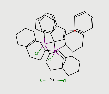 ClP(C1CCCCC1)(C1CCCCC1)(C1CCCCC1)C1(P(Cl)(C2CCCCC2)(C2CCCCC2)C2CCCCC2)C=C(c2ccccc2)c2ccccc21.[Cl][Ru][Cl]